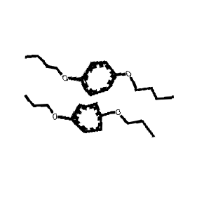 CCCCOc1ccc(OCCCC)cc1.CCCOc1ccc(OCCC)cc1